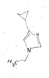 CCn1cnc(C2CC2)c1